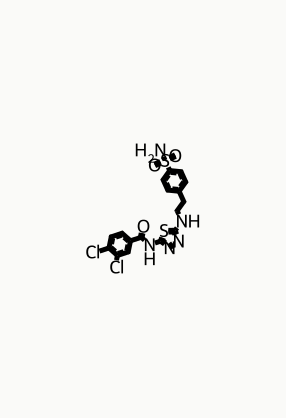 NS(=O)(=O)c1ccc(CCNc2nnc(NC(=O)c3ccc(Cl)c(Cl)c3)s2)cc1